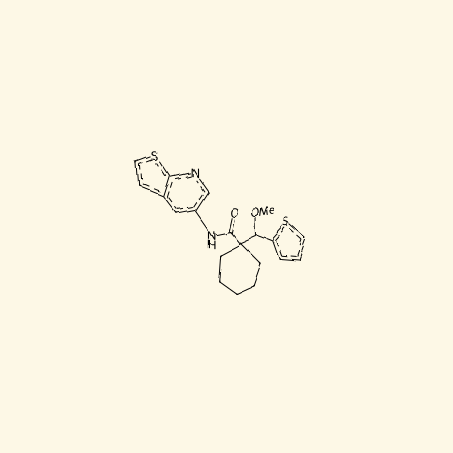 COC(c1cccs1)C1(C(=O)Nc2cnc3sccc3c2)CCCCC1